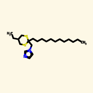 CCCCCCCCCCCCC1(Cn2ccnc2)SCC(CC)CS1